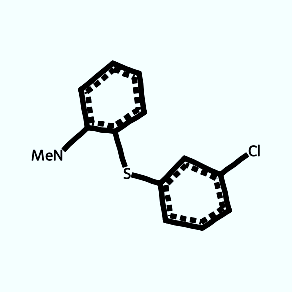 CNc1ccccc1Sc1cccc(Cl)c1